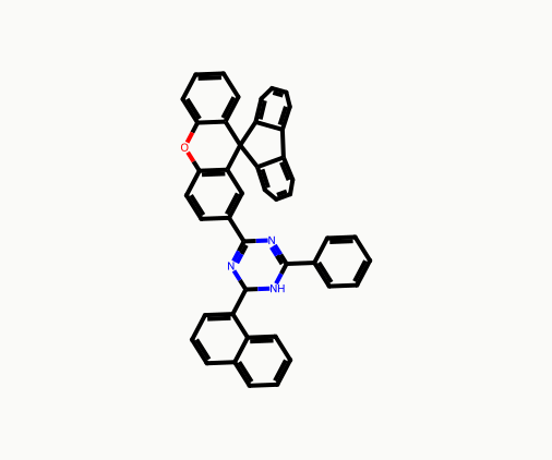 c1ccc(C2=NC(c3ccc4c(c3)C3(c5ccccc5O4)c4ccccc4-c4ccccc43)=NC(c3cccc4ccccc34)N2)cc1